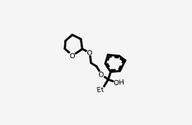 CCC(O)(OCCOC1CCCCO1)c1ccccc1